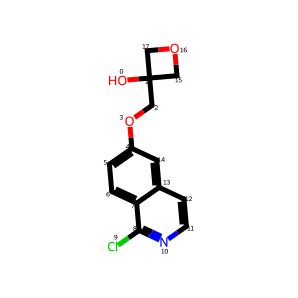 OC1(COc2ccc3c(Cl)nccc3c2)COC1